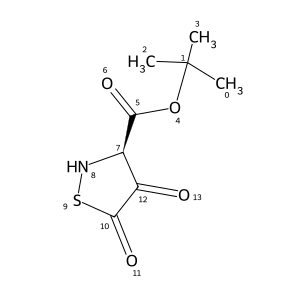 CC(C)(C)OC(=O)[C@@H]1NSC(=O)C1=O